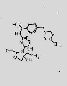 CC(C)C1(C)COC(C=O)N1c1ccnc(N[C@@H](C)c2ccc(CN3CCN(C)CC3)cc2)n1